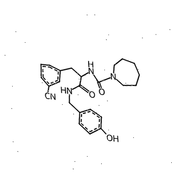 N#Cc1cccc(CC(NC(=O)N2CCCCCC2)C(=O)NCc2ccc(O)cc2)c1